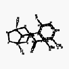 Cc1cc(N2C[C@H]3CC[C@@H](C2)C3NC(=O)OC(C)(C)C)c(F)cn1